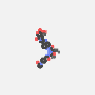 CC[C@@]1(O)C(=O)OCc2c1cc1n(c2=O)Cc2c-1nc1ccc(NC(=O)[C@H](C)NC(=O)[C@@H](NC(=O)Cc3ccc(N4CC=CC4=O)cc3)C(C)C)c3c1c2CCC3